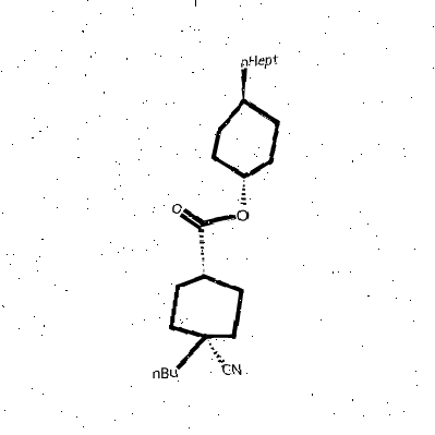 CCCCCCC[C@H]1CC[C@H](OC(=O)[C@H]2CC[C@](C#N)(CCCC)CC2)CC1